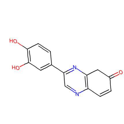 O=C1C=Cc2ncc(-c3ccc(O)c(O)c3)nc2C1